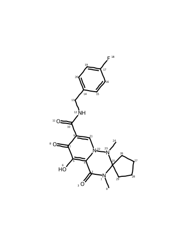 CN1C(=O)c2c(O)c(=O)c(C(=O)NCc3ccc(F)cc3)cn2N(C)C12CCCC2